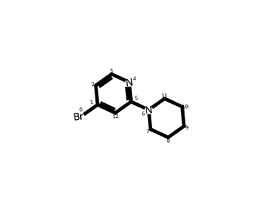 Brc1ccnc(N2CCCCC2)c1